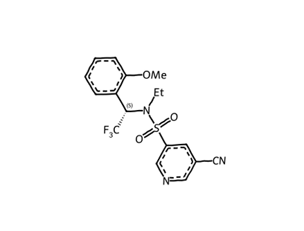 CCN([C@@H](c1ccccc1OC)C(F)(F)F)S(=O)(=O)c1cncc(C#N)c1